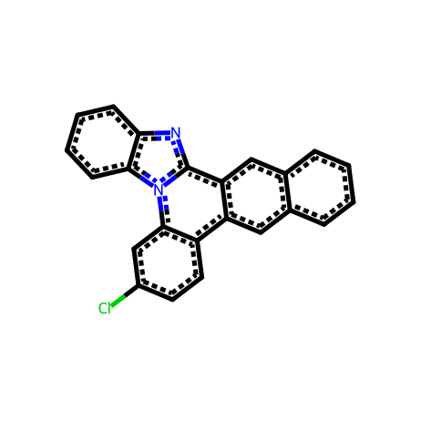 Clc1ccc2c3cc4ccccc4cc3c3nc4ccccc4n3c2c1